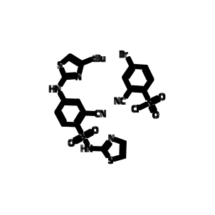 CC(C)(C)c1csc(Nc2ccc(S(=O)(=O)Nc3nccs3)c(C#N)c2)n1.N#Cc1cc(Br)ccc1S(=O)(=O)Cl